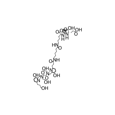 O=C(O)CC[C@H](NC(=O)N[C@@H](CCCCNC(=O)CCCCCNC(=O)CCc1ccc(O)c(CN(CCN(CC(=O)O)Cc2nc(CCCO)ccc2O)CC(=O)O)n1)C(=O)O)C(=O)O